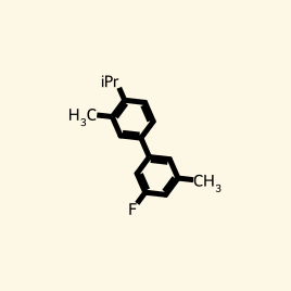 Cc1cc(F)cc(-c2ccc(C(C)C)c(C)c2)c1